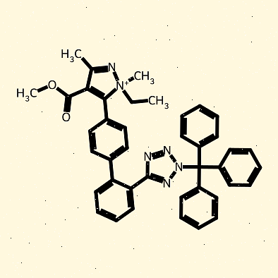 CC[N+]1(C)N=C(C)C(C(=O)OC)=C1c1ccc(-c2ccccc2-c2nnn(C(c3ccccc3)(c3ccccc3)c3ccccc3)n2)cc1